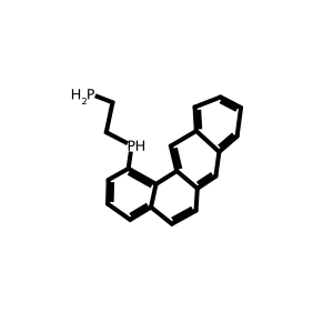 PCCPc1cccc2ccc3cc4ccccc4cc3c12